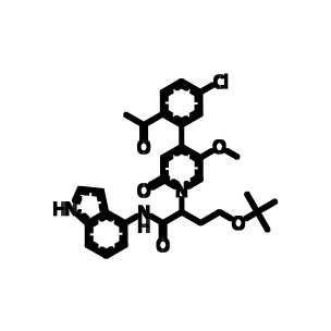 COc1cn(C(CCOC(C)(C)C)C(=O)Nc2cccc3[nH]ccc23)c(=O)cc1-c1cc(Cl)ccc1C(C)=O